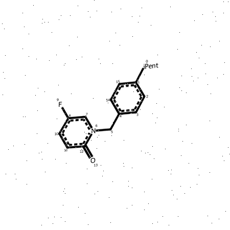 CCCC(C)c1ccc(Cn2cc(F)ccc2=O)cc1